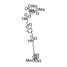 COC(=O)NCC(CNC(=O)OC)OC(=O)NCCC(=O)Oc1c(C)cc(COC(=O)NCCCCCCNOP(=O)(O)OC)cc1C